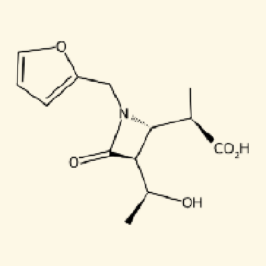 C[C@H](O)[C@H]1C(=O)N(Cc2ccco2)[C@@H]1[C@@H](C)C(=O)O